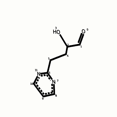 O=CC(O)CCc1ncccn1